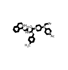 CC(=O)N1CCC(N(CC(C)C)C2CCN(C(=O)[C@@H](Cc3ccc(C)cc3)NC(=O)C[C@@H]3NCCc4ccccc43)CC2)CC1